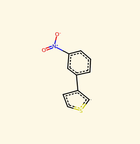 O=[N+]([O-])c1cccc(-c2[c]scc2)c1